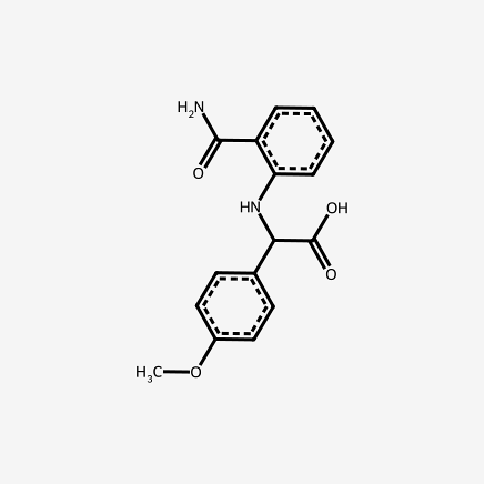 COc1ccc(C(Nc2ccccc2C(N)=O)C(=O)O)cc1